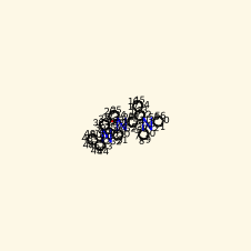 c1ccc(N(c2ccccc2)c2cc3ccccc3c3cc(N(c4ccccc4)c4cccc5c4c4ccccc4n5-c4cccc5ccccc45)ccc23)cc1